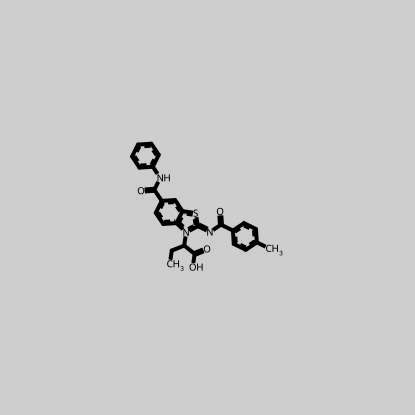 CCC(C(=O)O)n1c(=NC(=O)c2ccc(C)cc2)sc2cc(C(=O)Nc3ccccc3)ccc21